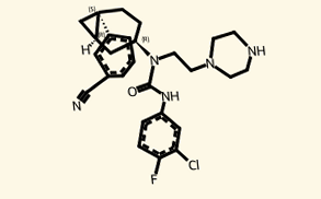 N#Cc1cccc([C@]23CC[C@@H](N(CCN4CCNCC4)C(=O)Nc4ccc(F)c(Cl)c4)C[C@H]2C3)c1